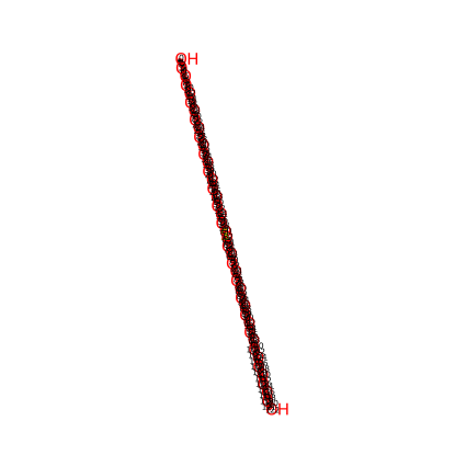 OCCOCCOCCOCCOCCOCCOCCOCCOCCOCCOCCOCCOCCOCCOCCOCCOCCOCCOCCOCCOSOCCOCCOCCOCCOCCOCCOCCOCCOCCOCCOCCOCCOCCOCCOCCOCCOCCOCCOCCOCCO